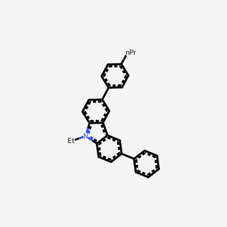 CCCc1ccc(-c2ccc3c(c2)c2cc(-c4ccccc4)ccc2n3CC)cc1